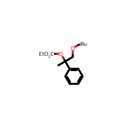 CCOC(=O)OC(C)(COC(C)CC)c1ccccc1